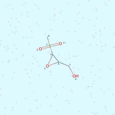 CS(=O)(=O)C1OC1CO